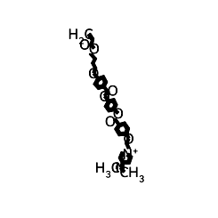 C=CC(=O)OCCCCOc1ccc(C(=O)Oc2ccc(OC(=O)c3ccc(OCC[n+]4ccc(N(C)C)cc4)cc3)cc2)cc1